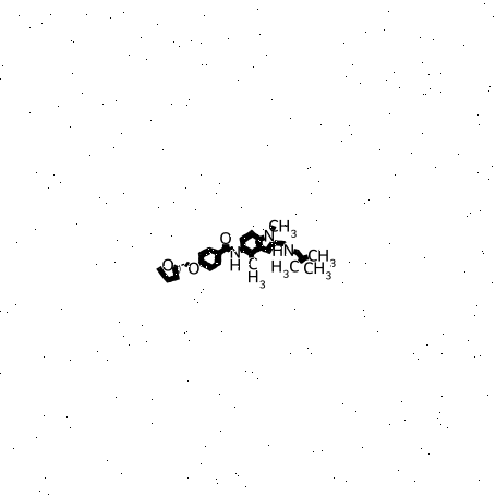 Cc1c(NC(=O)c2ccc(OC[C@@H]3CCCO3)cc2)ccc2c1cc(CNCC(C)(C)C)n2C